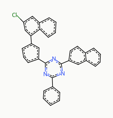 Clc1cc(-c2cccc(-c3nc(-c4ccccc4)nc(-c4ccc5ccccc5c4)n3)c2)c2ccccc2c1